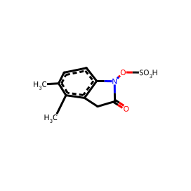 Cc1ccc2c(c1C)CC(=O)N2OS(=O)(=O)O